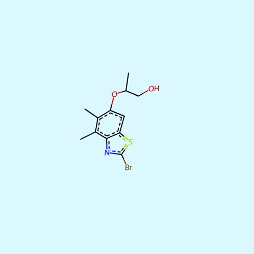 Cc1c(OC(C)CO)cc2sc(Br)nc2c1C